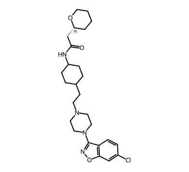 O=C(C[C@H]1CCCCO1)NC1CCC(CCN2CCN(c3noc4cc(Cl)ccc34)CC2)CC1